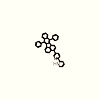 C1=CCNC(c2ccc(-c3ccc4c5c(cccc35)-c3c-4c(-c4ccccc4)c4ccccc4c3-c3ccccc3)cn2)=C1